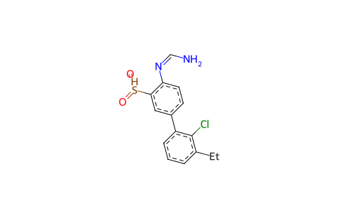 CCc1cccc(-c2ccc(/N=C\N)c([SH](=O)=O)c2)c1Cl